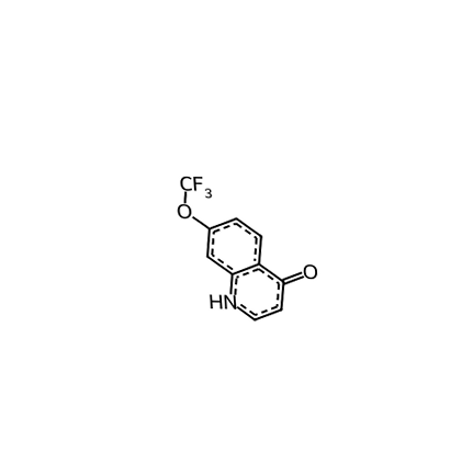 O=c1cc[nH]c2cc(OC(F)(F)F)ccc12